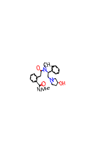 CNC(=O)c1ccccc1CC(=O)N(C)C(CN1CCC(O)C1)c1ccccc1